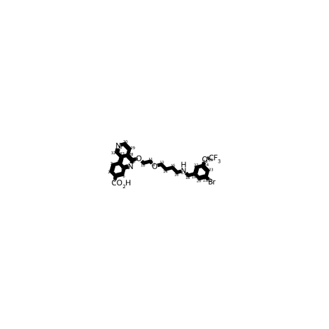 O=C(O)c1ccc2c(c1)nc(OCCOCCCCNCc1cc(Br)cc(OC(F)(F)F)c1)c1ccncc12